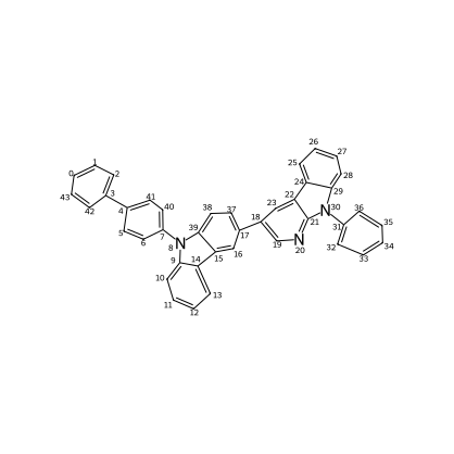 c1ccc(-c2ccc(-n3c4ccccc4c4cc(-c5cnc6c(c5)c5ccccc5n6-c5ccccc5)ccc43)cc2)cc1